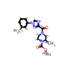 Cc1cccc(-n2cnc(C(=O)N3CCN(C(=O)OC(C)(C)C)C(C)C3)n2)c1